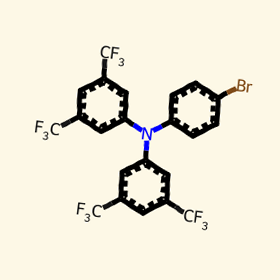 FC(F)(F)c1cc(N(c2ccc(Br)cc2)c2cc(C(F)(F)F)cc(C(F)(F)F)c2)cc(C(F)(F)F)c1